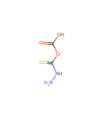 NNC(=S)OC(=O)O